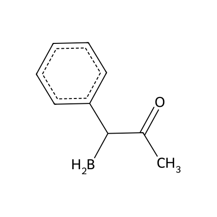 BC(C(C)=O)c1ccccc1